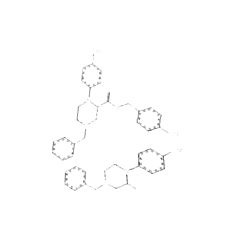 COc1ccc(N2CCN(Cc3ccccc3)CC2C(=O)NCc2ccc(C#N)cc2)cc1.COc1ccc(N2CCN(Cc3ccccc3)CC2C(=O)O)cc1